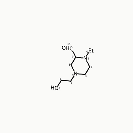 CCN1CCN(CCO)CC1C=O